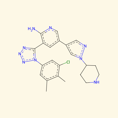 Cc1cc(-n2nnnc2-c2cc(-c3cnn(C4CCNCC4)c3)cnc2N)cc(Cl)c1C